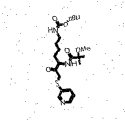 COC(C)(C)C(=O)NC(CCCCNC(=O)OC(C)(C)C)C(=O)CSc1cccnc1